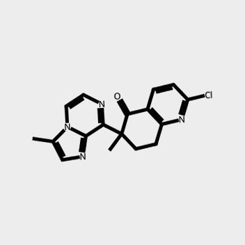 Cc1cnc2c(C3(C)CCc4nc(Cl)ccc4C3=O)nccn12